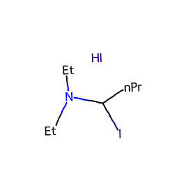 CCCC(I)N(CC)CC.I